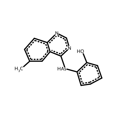 Cc1ccc2ncnc([AsH]c3ccccc3O)c2c1